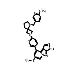 CCOc1cc(-c2ccc(N3CC4(CCCN4Cc4ccc(OC)nc4)C3)nc2)c2c3cn[nH]c3nn2c1